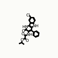 CC(C)OC(=O)C(=O)Nc1c(-c2ccccc2)c2[nH]c3ccc(Cl)cc3c2[nH]c1=O